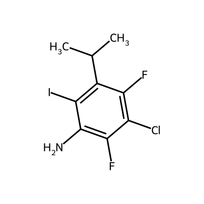 CC(C)c1c(F)c(Cl)c(F)c(N)c1I